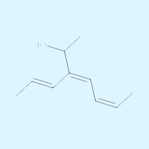 C\C=C/C=C(\C=C\C)C(C)O